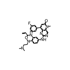 C=CC(=O)Nc1cc(Nc2ncc3c(n2)c(-c2cccc(F)c2)cc(=O)n3C)ccc1N(C)CCN(C)C